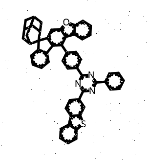 c1ccc(-c2nc(-c3ccc(-c4c5c(cc6oc7ccccc7c46)C4(c6ccccc6-5)C5CC6CC(C5)CC4C6)cc3)nc(-c3ccc4c(c3)sc3ccccc34)n2)cc1